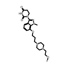 Cn1nc(N2CCC(=O)NC2=O)c2cccc(OCCCN3CCN(CCOF)CC3)c21